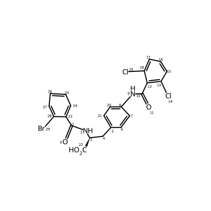 O=C(N[C@@H](Cc1ccc(NC(=O)c2c(Cl)cccc2Cl)cc1)C(=O)O)c1ccccc1Br